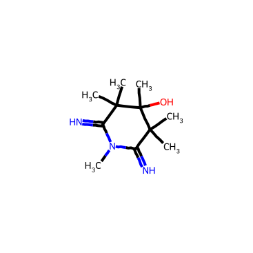 CN1C(=N)C(C)(C)C(C)(O)C(C)(C)C1=N